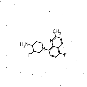 Cc1ccc2c(F)ccc(N3CC[C@H](N)[C@H](F)C3)c2n1